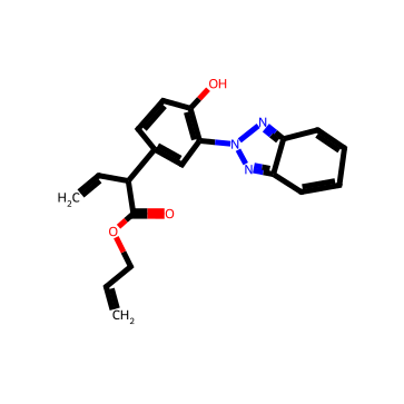 C=CCOC(=O)C(C=C)c1ccc(O)c(-n2nc3ccccc3n2)c1